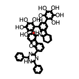 Oc1c(O)c(O)c(-c2cc(-c3c(O)c(O)c(O)c(O)c3O)c3c(c2)c2c(n3-c3cccc4oc5c(C6=NC(c7ccccc7)NC(c7ccccc7)=N6)cccc5c34)CCC=C2)c(O)c1O